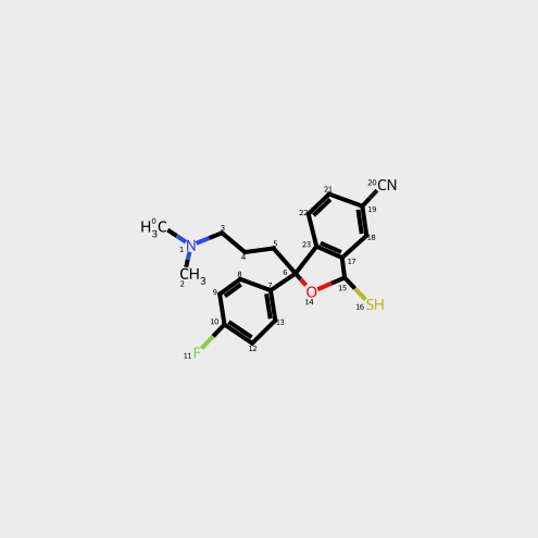 CN(C)CCCC1(c2ccc(F)cc2)OC(S)c2cc(C#N)ccc21